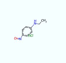 CCNc1ccc(N=O)cc1.Cl